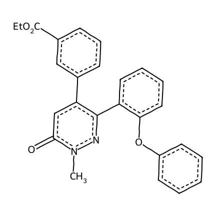 CCOC(=O)c1cccc(-c2cc(=O)n(C)nc2-c2ccccc2Oc2ccccc2)c1